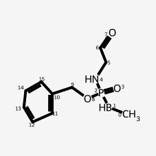 CBP(=O)(NCC=O)OCc1ccccc1